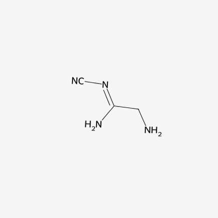 N#CN=C(N)CN